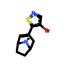 CN1C2C=C(c3sncc3Br)CC1CC2